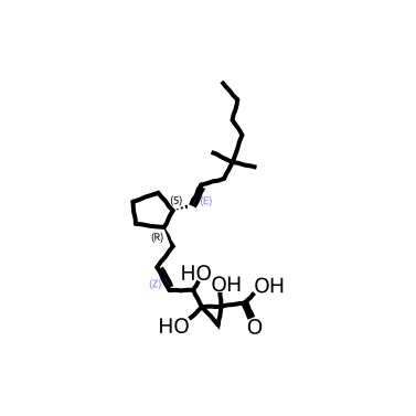 CCCCC(C)(C)C/C=C/[C@H]1CCC[C@@H]1C/C=C\C(O)C1(O)CC1(O)C(=O)O